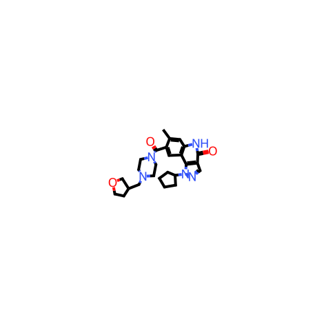 Cc1cc2[nH]c(=O)c3cnn(C4CCCC4)c3c2cc1C(=O)N1CCN(CC2CCOC2)CC1